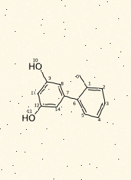 Cc1ccccc1-c1cc(O)cc(O)c1